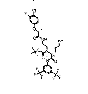 CSCCC[C@H](C(=O)Nc1cc(C(F)(F)F)cc(C(F)(F)F)c1)N(CCNC(=O)COc1ccc(Cl)c(F)c1)C(=O)OC(C)(C)C